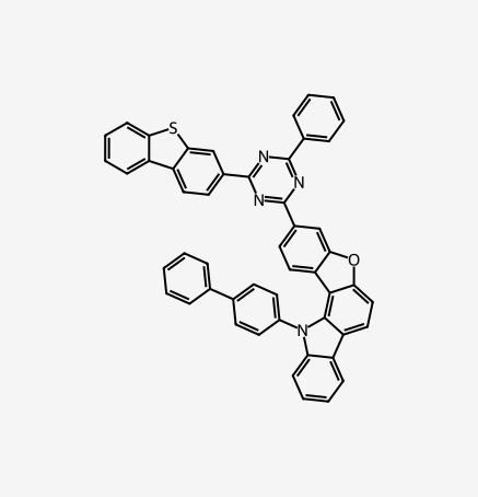 c1ccc(-c2ccc(-n3c4ccccc4c4ccc5oc6cc(-c7nc(-c8ccccc8)nc(-c8ccc9c(c8)sc8ccccc89)n7)ccc6c5c43)cc2)cc1